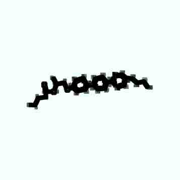 CCCCC(=O)OC(C)COc1ccc(-c2ccc(-c3ncc(CCCC)cn3)cc2)cc1